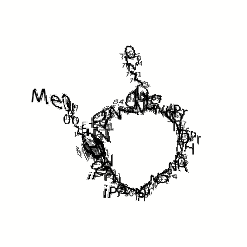 CC[C@@H]1NC(=O)[C@@H]2[C@@H]([C@H](C)CCCCOC(=O)N(C)OC)ON2C(=O)[C@H](C(C)C)N(C)C(=O)[C@H](CC(C)C)N(C)C(=O)[C@H](CC(C)C)N(C)C(=O)[C@@H](C)NC(=O)[C@H](C)NC(=O)[C@H](CC(C)C)N(C)C(=O)[C@H](C(C)C)NC(=O)[C@H]([C@@H](C)OCCCCN2CCOCC2)N(C)C(=O)[C@@H](C)N(C)C1=O